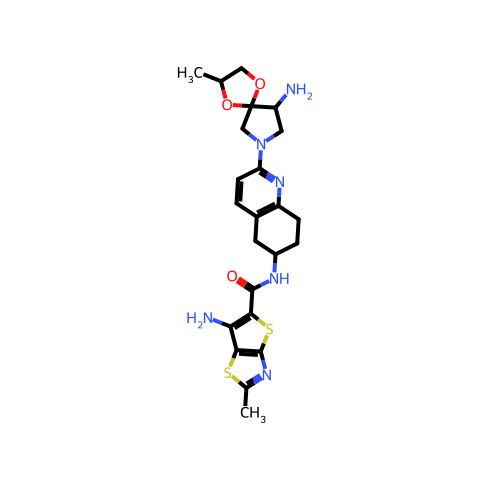 Cc1nc2sc(C(=O)NC3CCc4nc(N5CC(N)C6(C5)OCC(C)O6)ccc4C3)c(N)c2s1